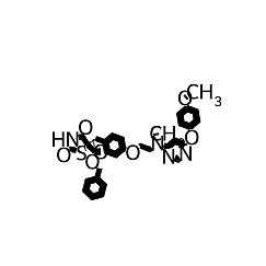 COc1ccc(Oc2cc(N(C)CCOc3ccc(C[C@]4(C(=O)OCc5ccccc5)SC(=O)NC4=O)cc3)ncn2)cc1